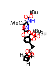 COC(=O)[C@@](C)(CN1CC(Oc2ccc(C3CC3B3O[C@@H]4C[C@@H]5C[C@@H](C5(C)C)[C@]4(C)O3)c(OC(=O)OC(C)(C)C)c2C(=O)OC(C)(C)C)C1)NC(=O)OC(C)(C)C